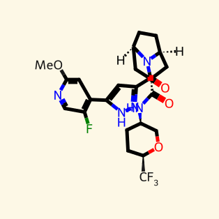 COc1cc(-c2cc(C(=O)N3[C@@H]4CC[C@H]3C[C@H](C(=O)N[C@@H]3CC[C@H](C(F)(F)F)OC3)C4)n[nH]2)c(F)cn1